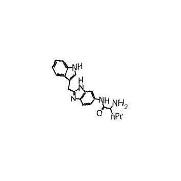 CCCC(N)C(=O)Nc1ccc2nc(Cc3c[nH]c4ccccc34)[nH]c2c1